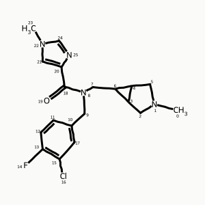 CN1CC2C(C1)C2CN(Cc1ccc(F)c(Cl)c1)C(=O)c1cn(C)cn1